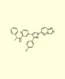 CC(Nc1cc(-c2cn(-c3ccc4nncn4n3)nc2-c2ccc(F)cc2)ccn1)c1ccccc1